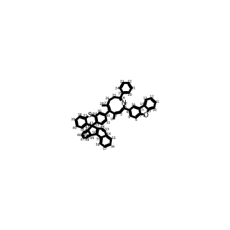 CC1=C=C(c2ccc3oc4ccccc4c3c2)/N=C(/c2ccccc2)CC/C(C)=C\1c1ccc2c(c1)Sc1ccccc1C21c2ccccc2-c2c1ccc1ccccc21